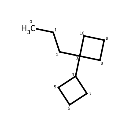 CCCC1(C2CCC2)CCC1